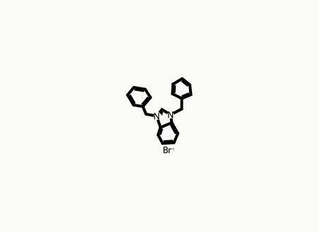 [Br-].c1ccc(Cn2c[n+](Cc3ccccc3)c3ccccc32)cc1